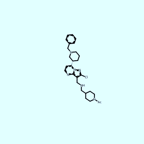 CC(=O)N1CCC(CNCc2c(Cl)nn3c([C@H]4CCCN(Cc5ccccc5)C4)ccnc23)CC1